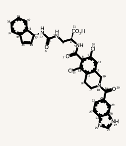 O=C(NC[C@H](NC(=O)c1c(Cl)cc2c(c1Cl)CCN(C(=O)c1ccc3nc[nH]c3c1)C2)C(=O)O)N[C@@H]1C=Cc2ccccc21